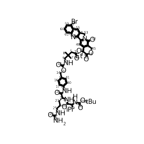 CC[C@@]1(OC(=O)CC(C)(C)CNC(=O)OCc2ccc(NC(=O)[C@H](CCCNC(N)=O)NC(=O)C(NC(=O)OC(C)(C)C)C(C)C)cc2)C(=O)OCc2c1cc1n(c2=O)Cc2cc3c(Br)cccc3nc2-1